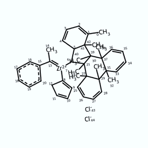 CC1=CC=CC2[CH](/[Zr+2]([C]3=CC=CC3)=[C](\C)c3ccccc3)C3(C)C4(C)C=CC=CC4(C)C4(C)C=CC=CC4(C)C3(C)C12C.[Cl-].[Cl-]